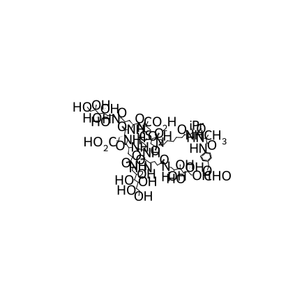 CC(C)[C@H](NC(=O)CCCCCN1C(=O)CC(SC[C@@H](NC(=O)[C@H](CCC(=O)NC[C@H](O)[C@@H](O)[C@H](O)[C@H](O)CO)NC(=O)[C@@H](CCC(=O)O)NC(=O)[C@H](CCC(=O)NC[C@H](O)[C@@H](O)[C@H](O)[C@H](O)CO)NC(=O)[C@@H](CCC(=O)O)NC(=O)[C@@H](N)CCC(=O)NC[C@H](O)[C@@H](O)[C@H](O)[C@H](O)CO)C(=O)O)C1=O)C(=O)N[C@@H](C)C(=O)Nc1ccc(COC=O)cc1